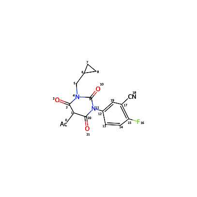 CC(=O)C1C(=O)N(CC2CC2)C(=O)N(c2ccc(F)c(C#N)c2)C1=O